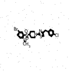 COc1ccc(Br)cc1S(=O)(=O)C1CCN(c2nc(Cc3ccc(Cl)cc3)cs2)CC1